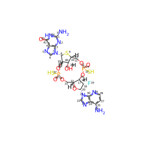 Nc1nc2c(ncn2[C@@H]2S[C@@H]3COP(=O)(S)O[C@H]4[C@H](F)[C@H](n5cnc6c(N)ccnc65)O[C@@H]4CO[P@@](=O)(S)O[C@@H]2[C@@H]3O)c(=O)[nH]1